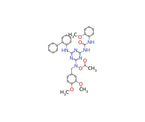 COc1ccccc1NC(=O)Nc1nc(Nc2ccccc2-c2ccccc2)nc(N(Cc2ccc(OC)c(OC)c2)OC(C)=O)n1